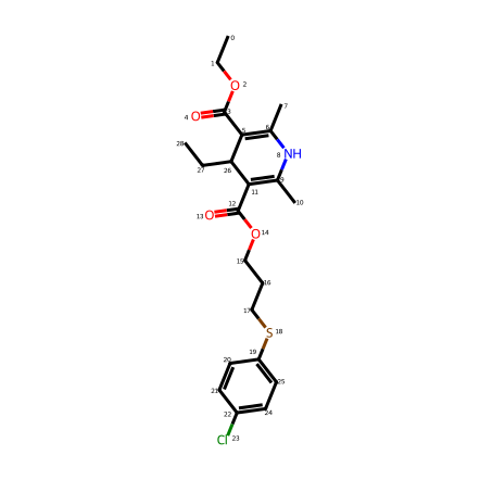 CCOC(=O)C1=C(C)NC(C)=C(C(=O)OCCCSc2ccc(Cl)cc2)C1CC